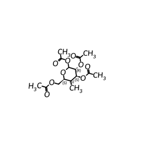 CC(=O)OC[C@H]1OC(OC(C)=O)[C@H](OC(C)=O)[C@@H](OC(C)=O)[C@H]1C